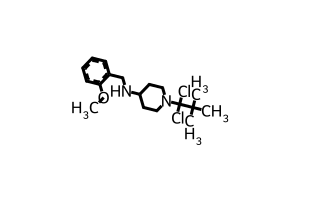 COc1ccccc1CNC1CCN(C(Cl)(Cl)C(C)(C)C)CC1